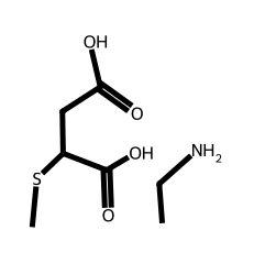 CCN.CSC(CC(=O)O)C(=O)O